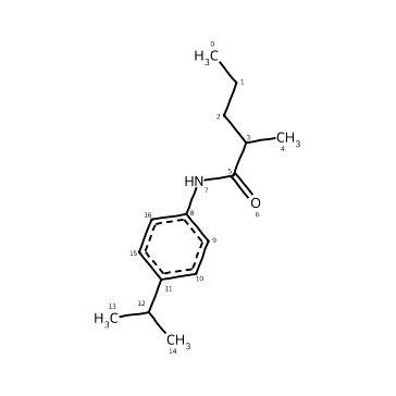 CCCC(C)C(=O)Nc1ccc(C(C)C)cc1